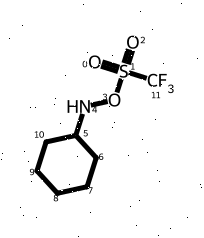 O=S(=O)(ONC1CCCCC1)C(F)(F)F